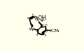 Cl.N#CC1=CC=C2N=CC=CN=C2C1